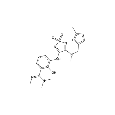 C/N=C(/c1cccc(NC2=NS(=O)(=O)N=C2N(C)Cc2ccc(C)o2)c1O)N(C)C